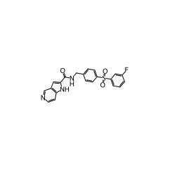 O=C(NCc1ccc(S(=O)(=O)c2cccc(F)c2)cc1)c1cc2cnccc2[nH]1